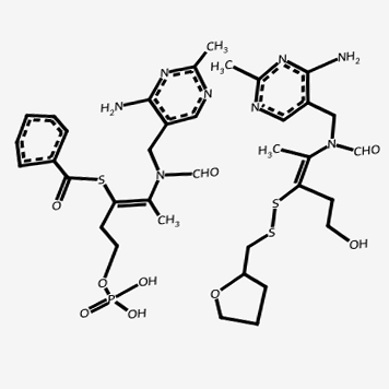 C/C(=C(/CCO)SSCC1CCCO1)N(C=O)Cc1cnc(C)nc1N.C/C(=C(\CCOP(=O)(O)O)SC(=O)c1ccccc1)N(C=O)Cc1cnc(C)nc1N